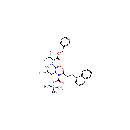 CC(C)C[C@@H](C(=O)N[C@H](C(=O)OCc1ccccc1)C(C)C)N(C(=O)CCc1cccc2ccccc12)C(=O)OC(C)(C)C